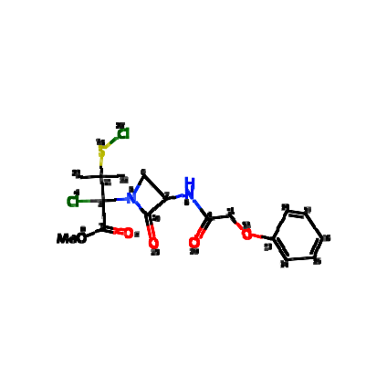 COC(=O)C(Cl)(N1CC(NC(=O)COc2ccccc2)C1=O)C(C)(C)SCl